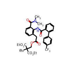 CCOC(=O)C(COC(=O)Cc1cccc(C(=O)N(C)C)c1NC(=O)c1ccccc1-c1ccc(C(F)(F)F)cc1)(C(=O)OCC)C(C)CC